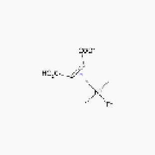 CC[N+](C)(C)C.O=C([O-])/C=C\C(=O)O